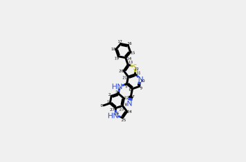 Cc1cc(Nc2c(C#N)cnc3sc(-c4ccccc4)cc23)cc2cc[nH]c12